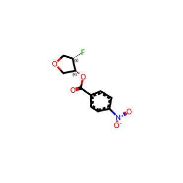 O=C(O[C@@H]1COC[C@@H]1F)c1ccc([N+](=O)[O-])cc1